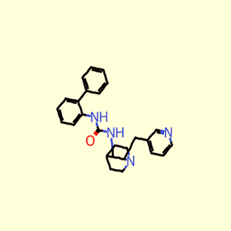 O=C(Nc1ccccc1-c1ccccc1)NC1C2CCN(CC2)C1Cc1cccnc1